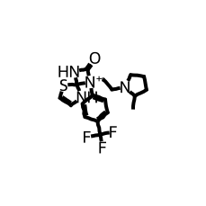 CC1CCCN1CC[N+]1(c2ccc(C(F)(F)F)cc2)C(=O)NC12NC=CS2